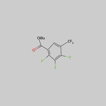 CC(C)COC(=O)c1cc(C(F)(F)F)c(F)c(F)c1F